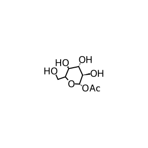 CC(=O)O[C@@H]1OC(CO)[C@@H](O)[C@H](O)[C@H]1O